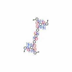 C#Cc1cccc(NC(=O)c2cc(NC(=O)c3ccc(-c4nc5cc6oc(-c7ccc(C(=O)Nc8cc(C(=O)Nc9cccc(C#C)c9)cc(C(=O)Nc9cccc(C#C)c9)c8)cc7)nc6cc5o4)cc3)cc(C(=O)Nc3cccc(C#C)c3)c2)c1